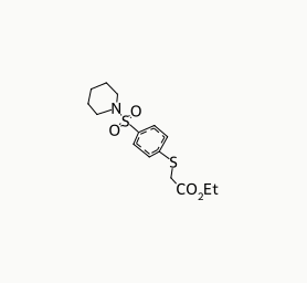 CCOC(=O)CSc1ccc(S(=O)(=O)N2CCCCC2)cc1